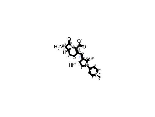 C[n+]1ccc(N2CC/C(=C\C3=C(C(=O)[O-])N4C(=O)[C@@H](N)[C@H]4CC3)C2=O)cc1.I